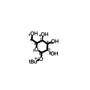 CC(C)(C)OC1OC(CO)[C@@H](O)C(O)[C@@H]1O